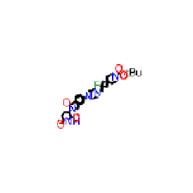 CC(C)(C)OC(=O)N1CCC2(CC1)CC(F)(CN1CCN(c3ccc4c(c3)CN([C@H]3CCC(=O)NC3=O)C4=O)CC1)C2